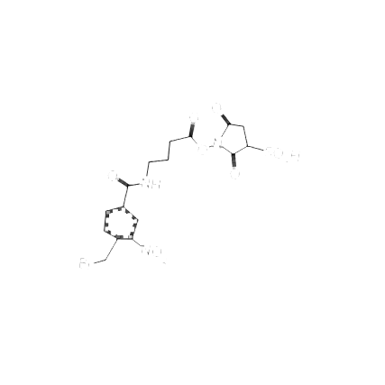 O=C(CCCNC(=O)c1ccc(CBr)c([N+](=O)[O-])c1)ON1C(=O)CC(S(=O)(=O)O)C1=O